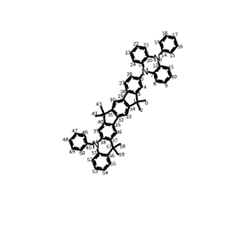 CC1(C)c2cc(N3c4ccccc4N(c4ccccc4)c4ccccc43)ccc2-c2cc3c(cc21)-c1cc2c(cc1C3(C)C)N(c1ccccc1)c1ccccc1C2(C)C